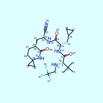 CC(C)(C)[C@H](NCC(F)(F)F)C(=O)N[C@@H](CC1CC1)C(=O)N[C@H](C#N)C[C@@H]1CCC2(CC2)NC1=O